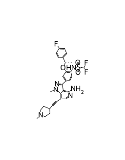 C[C@H](Oc1cc(-c2nn(C)c3c(C#CC4CCN(C)CC4)cnc(N)c23)ccc1NS(=O)(=O)C(F)F)c1ccc(F)cc1